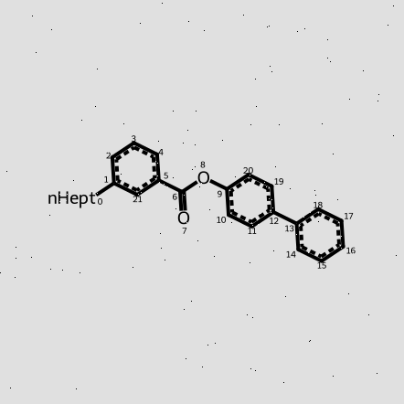 CCCCCCCc1cccc(C(=O)Oc2ccc(-c3ccccc3)cc2)c1